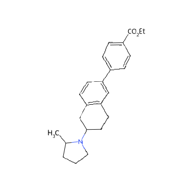 CCOC(=O)c1ccc(-c2ccc3c(c2)CCC(N2CCCC2C)C3)cc1